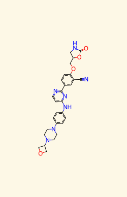 N#Cc1cc(-c2nccc(Nc3ccc(N4CCN(C5COC5)CC4)cc3)n2)ccc1OCC1CNC(=O)O1